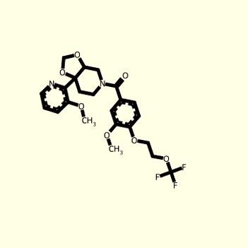 COc1cc(C(=O)N2CCC3(c4ncccc4OC)OCOC3C2)ccc1OCCOC(F)(F)F